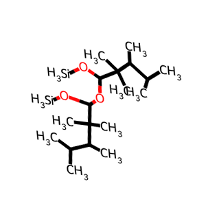 CC(C)C(C)C(C)(C)C(O[SiH3])OC(O[SiH3])C(C)(C)C(C)C(C)C